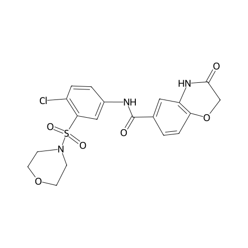 O=C1COc2ccc(C(=O)Nc3ccc(Cl)c(S(=O)(=O)N4CCOCC4)c3)cc2N1